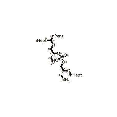 BC[C@H](COP(=O)(O)O[C@H](CB)COC(CCCCC)CCCCCCC)OCCCCCCC